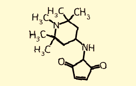 CN1C(C)(C)CC(NC2C(=O)C=CC2=O)CC1(C)C